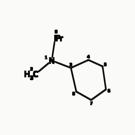 CC(C)N(C)C1CCCCC1